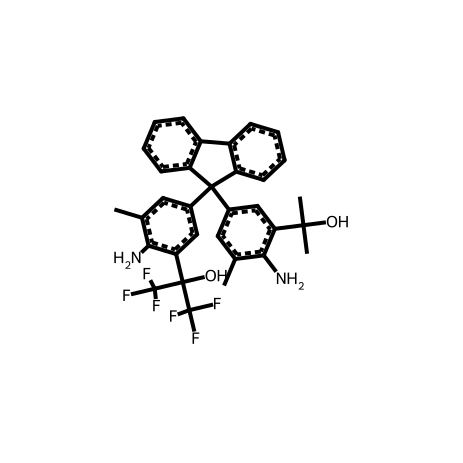 Cc1cc(C2(c3cc(C)c(N)c(C(O)(C(F)(F)F)C(F)(F)F)c3)c3ccccc3-c3ccccc32)cc(C(C)(C)O)c1N